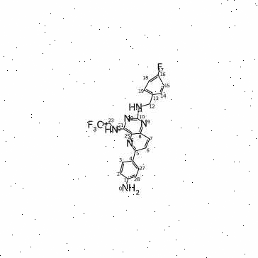 Nc1ccc(-c2ccc3nc(NCc4ccc(F)cc4)nc(NCC(F)(F)F)c3n2)cc1